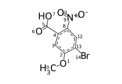 COc1cc(C(=O)O)c([N+](=O)[O-])cc1Br